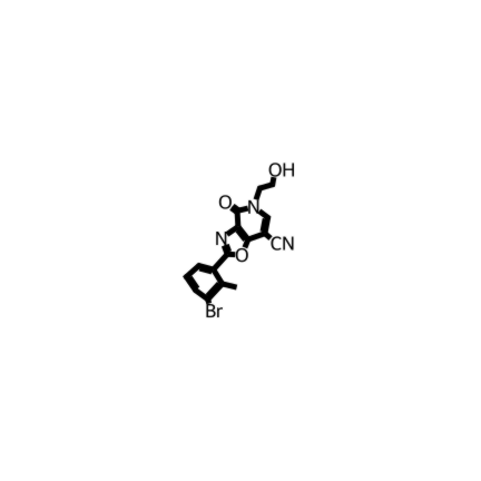 Cc1c(Br)cccc1-c1nc2c(=O)n(CCO)cc(C#N)c2o1